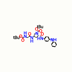 CC(C)(C)OC(=O)NCC(=O)NC1C[C@@H](C(=O)Nc2ccc(Nc3ccccc3)cc2)N(C(=O)OC(C)(C)C)C1